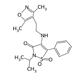 Cc1noc(C)c1CCNC1=C(c2ccccc2)S(=O)(=O)N(C(C)C)C1=O